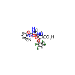 C[C@H](NC(=O)C(=O)Nc1ccccc1C#N)C(=O)N[C@@H](CCC(=O)O)C(=O)COc1c(F)c(F)cc(F)c1F